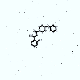 CCc1ccccc1C(CC)CC(=O)N1CCC(Oc2ccccc2)CC1